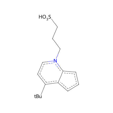 CC(C)(C)c1ccn(CCCS(=O)(=O)O)c2cccc1-2